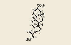 CC(C)(C)NC(=O)[C@H]1CC[C@H]2[C@@H]3CC[C@H]4CC(C(=O)O)=CC[C@]4(C)[C@H]3CC[C@]12C